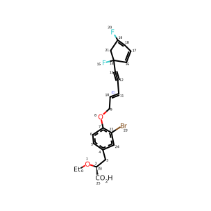 CCO[C@@H](Cc1ccc(OC/C=C/C#CC2(F)C=CC=C(F)C2)c(Br)c1)C(=O)O